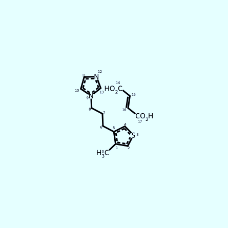 Cc1cscc1CCCn1ccnc1.O=C(O)/C=C/C(=O)O